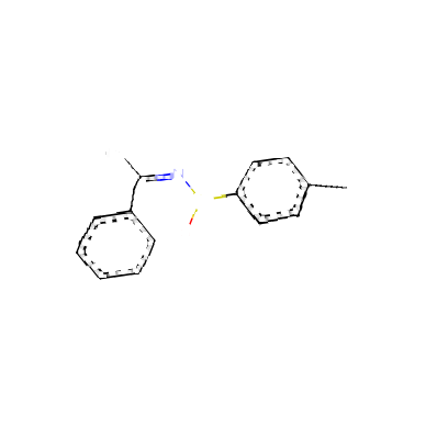 Cc1ccc([S+]([O-])N=C(c2ccccc2)C(C)C)cc1